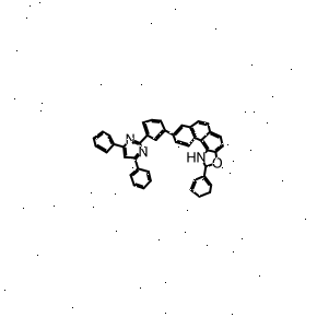 C1=CC(C2Nc3c(ccc4ccc5cc(-c6cccc(-c7nc(-c8ccccc8)cc(-c8ccccc8)n7)c6)ccc5c34)O2)=CCC1